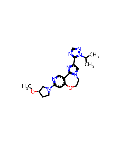 CO[C@@H]1CCN(c2cc3c(cn2)-c2nc(-c4ncnn4C(C)C)cn2CCO3)C1